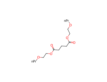 CCCOCCOC(=O)CCCC(=O)OCCOCCC